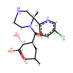 CC(C)C[C@H](C(=O)N1CCNC[C@]1(C)c1ccc(Cl)cn1)[C@@H](O)C(=O)O